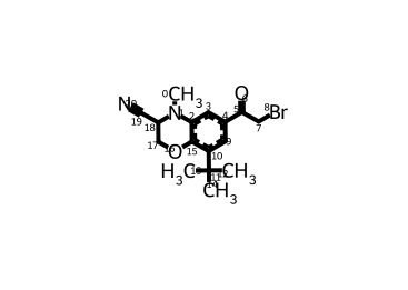 CN1c2cc(C(=O)CBr)cc(C(C)(C)C)c2OCC1C#N